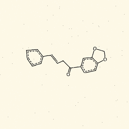 O=C(CC=Cc1ccccc1)c1ccc2c(c1)OCO2